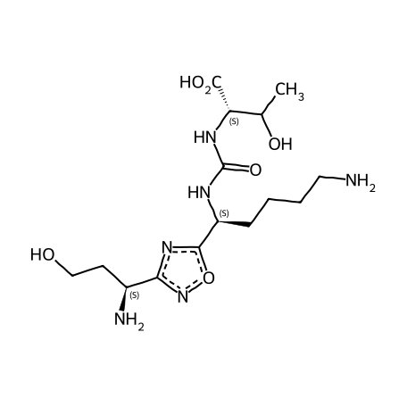 CC(O)[C@H](NC(=O)N[C@@H](CCCCN)c1nc([C@@H](N)CCO)no1)C(=O)O